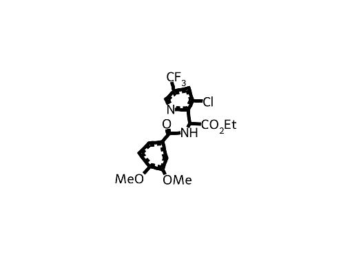 CCOC(=O)C(NC(=O)c1ccc(OC)c(OC)c1)c1ncc(C(F)(F)F)cc1Cl